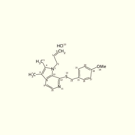 C=CCn1c(C)c(C)c2ccnc(SCc3ccc(OC)cc3)c21.Cl